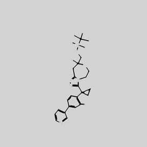 CC1(CO[Si](C)(C)C(C)(C)C)Cc2nnc(C3(c4ccc(-c5cccnc5)cc4F)CC3)n2CCS1